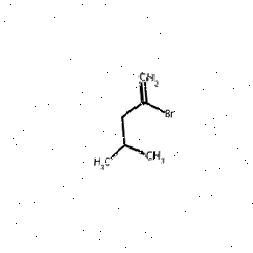 C=C(Br)CC(C)C